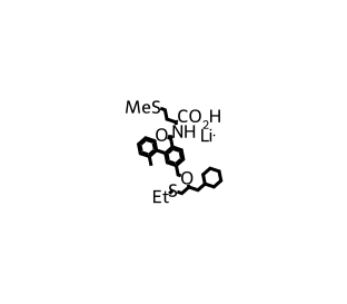 CCSCC(CC1CCCCC1)OCc1ccc(C(=O)N[C@@H](CCSC)C(=O)O)c(-c2ccccc2C)c1.[Li]